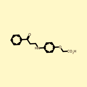 O=C(O)COc1ccc(NCCC(=O)c2ccccc2)cc1